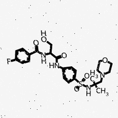 CC(C)(CN1CCOCC1)NS(=O)(=O)c1ccc(NC(=O)C(CO)NC(=O)c2ccc(F)cc2)cc1